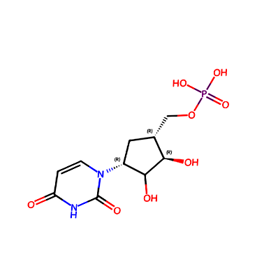 O=c1ccn([C@@H]2C[C@H](COP(=O)(O)O)[C@@H](O)C2O)c(=O)[nH]1